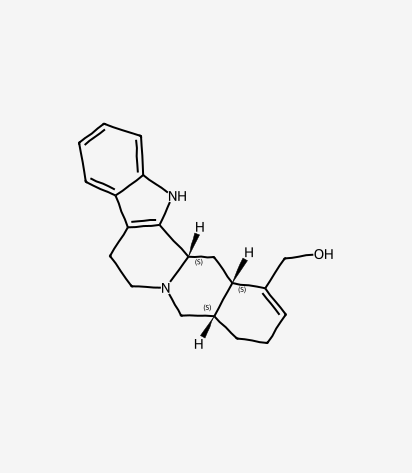 OCC1=CCC[C@@H]2CN3CCc4c([nH]c5ccccc45)[C@@H]3C[C@H]12